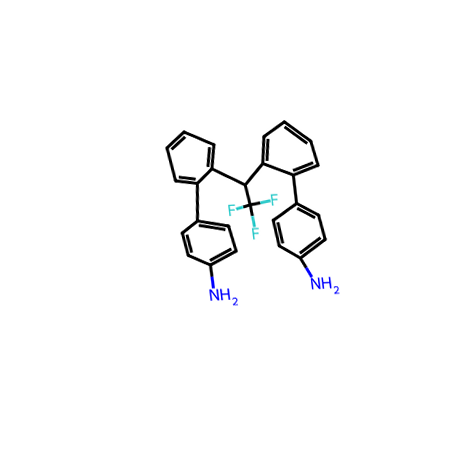 Nc1ccc(-c2ccccc2C(c2ccccc2-c2ccc(N)cc2)C(F)(F)F)cc1